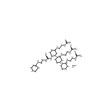 S=C([S-])OCCOC1CCCCC1.S=C([S-])OCCOC1CCCCC1.S=C([S-])OCCOC1CCCCC1.S=C([S-])OCCOC1CCCCC1.[Pt+4]